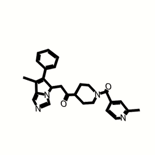 CC1=C(c2ccccc2)C(CC(=O)C2CCN(C(=O)c3ccnc(C)c3)CC2)n2cncc21